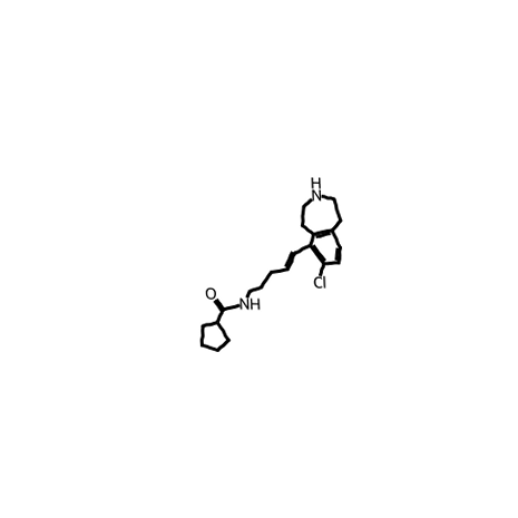 O=C(NCCC/C=C/c1c(Cl)ccc2c1CCNCC2)C1CCCC1